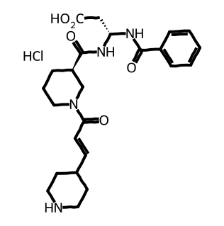 Cl.O=C(O)C[C@H](NC(=O)c1ccccc1)NC(=O)[C@@H]1CCCN(C(=O)/C=C/C2CCNCC2)C1